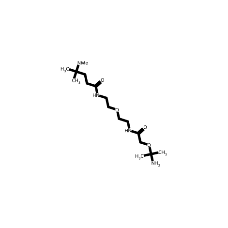 CNC(C)(C)CCC(=O)NCCOCCNC(=O)COC(C)(C)N